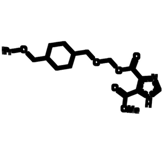 COC(=O)c1[nH]cnc1C(=O)OCOCC1CCC(COC(C)C)CC1